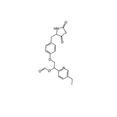 CCc1ccc(C(COc2ccc(CC3NC(=O)SC3=O)cc2)OC=O)nc1